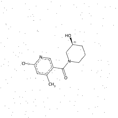 Cc1cc(Cl)ncc1C(=O)N1CCC[C@H](O)C1